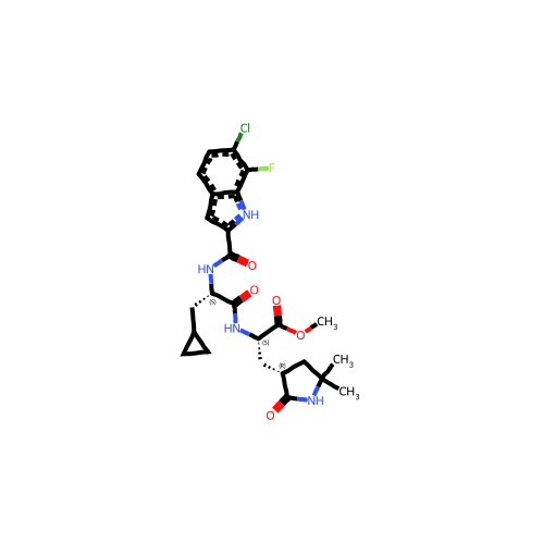 COC(=O)[C@H](C[C@@H]1CC(C)(C)NC1=O)NC(=O)[C@H](CC1CC1)NC(=O)c1cc2ccc(Cl)c(F)c2[nH]1